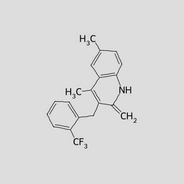 C=C1Nc2ccc(C)cc2C(C)=C1Cc1ccccc1C(F)(F)F